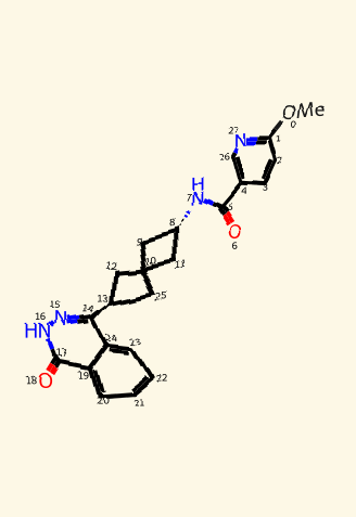 COc1ccc(C(=O)N[C@H]2CC3(C2)C[C@H](c2n[nH]c(=O)c4ccccc42)C3)cn1